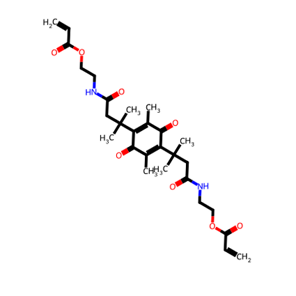 C=CC(=O)OCCNC(=O)CC(C)(C)C1=C(C)C(=O)C(C(C)(C)CC(=O)NCCOC(=O)C=C)=C(C)C1=O